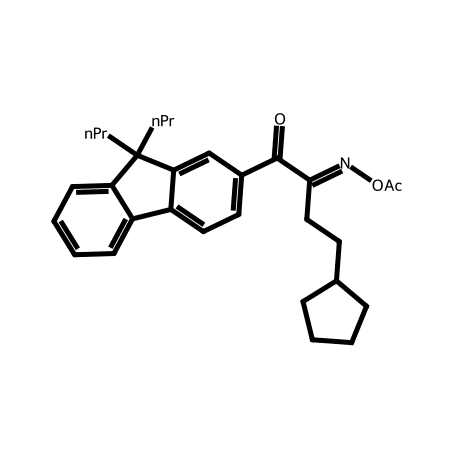 CCCC1(CCC)c2ccccc2-c2ccc(C(=O)/C(CCC3CCCC3)=N/OC(C)=O)cc21